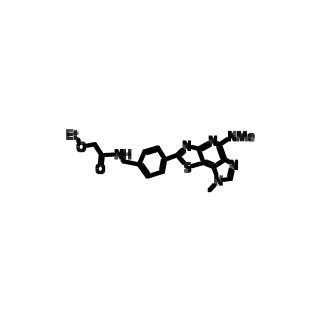 CCOCC(=O)NCc1ccc(-c2nc3nc(NC)c4ncn(C)c4c3s2)cc1